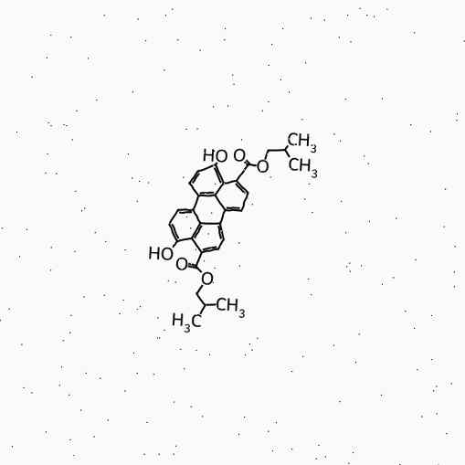 CC(C)COC(=O)c1ccc2c3ccc(C(=O)OCC(C)C)c4c(O)ccc(c5ccc(O)c1c52)c43